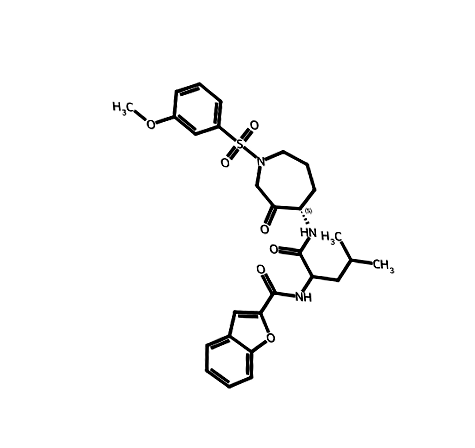 COc1cccc(S(=O)(=O)N2CCC[C@H](NC(=O)C(CC(C)C)NC(=O)c3cc4ccccc4o3)C(=O)C2)c1